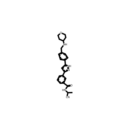 CC(C#N)NC(=O)c1cccc(-c2cc(-c3ccc(CNC4CCOCC4)cc3)[nH]n2)c1